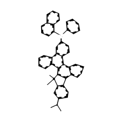 CC(C)c1ccc2c(c1)C(C)(C)c1c-2c2ccccc2c2c3ccc(N(c4ccccc4)c4cccc5ccccc45)cc3c3ccccc3c12